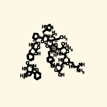 CCC1(c2ccccc2)C(=O)NC(=O)NC1=O.CC[C@H](C)[C@H](NC(=O)[C@H](Cc1ccc(O)cc1)NC(=O)[C@@H](NC(=O)[C@H](CCCNC(=N)N)NC(=O)[C@@H](N)CC(=O)O)C(C)C)C(=O)N[C@@H](Cc1cnc[nH]1)C(=O)N1CCC[C@H]1C(=O)N[C@@H](Cc1ccccc1)C(=O)O